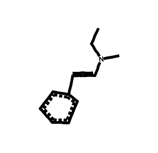 CCN(C)C=Cc1ccccc1